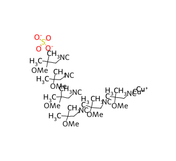 O=S(=O)([O-])[O-].[C-]#[N+]CC(C)(C)OC.[C-]#[N+]CC(C)(C)OC.[C-]#[N+]CC(C)(C)OC.[C-]#[N+]CC(C)(C)OC.[C-]#[N+]CC(C)(C)OC.[C-]#[N+]CC(C)(C)OC.[Cu+].[Cu+]